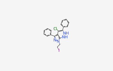 ClC1=C(c2ccccc2)NNc2c1c(-c1ccccc1)nn2CCI